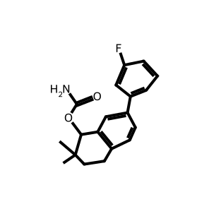 CC1(C)CCc2ccc(-c3cccc(F)c3)cc2C1OC(N)=O